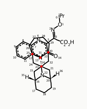 CC(C)ON=C(C(=O)O)c1nc2ccccc2n([C@H]2C[C@H]3CCC[C@@H](C2)N3C2CC3CCCCC(C3)C2)c1=O